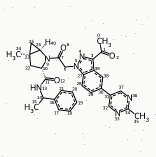 CC(=O)c1nn(CC(=O)N2[C@H](C(=O)NC(C)c3ccccc3)C[C@@]3(C)C[C@@H]23)c2ccc(-c3cnc(C)nc3)cc12